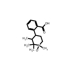 CC1C(c2ccccc2C(=O)O)CC[N+](C)([O-])C1(C)C